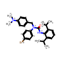 CC(C)c1cccc(C(C)C)c1NC(=O)N(Cc1ccc(N(C)C)cc1)c1ccc(Br)cc1